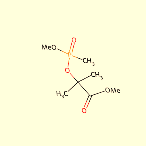 COC(=O)C(C)(C)OP(C)(=O)OC